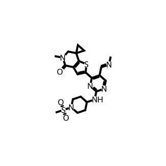 C/N=C/c1cnc(NC2CCN(S(C)(=O)=O)CC2)nc1-c1cc2c(s1)C1(CC1)CN(C)C2=O